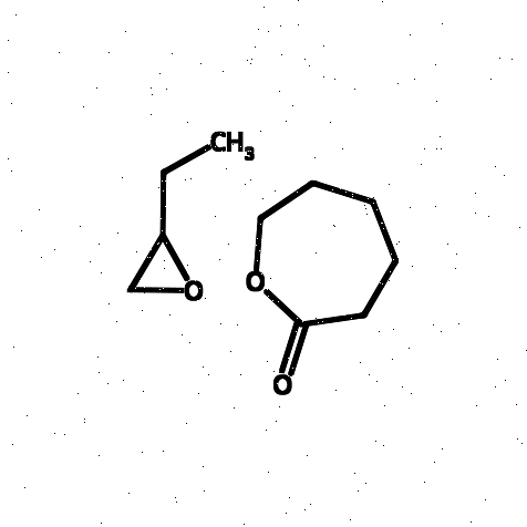 CCC1CO1.O=C1CCCCCO1